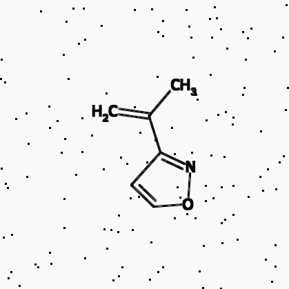 C=C(C)c1ccon1